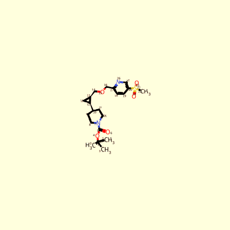 CC(C)(C)OC(=O)N1CCC([C@H]2C[C@H]2COCc2ccc(S(C)(=O)=O)cn2)CC1